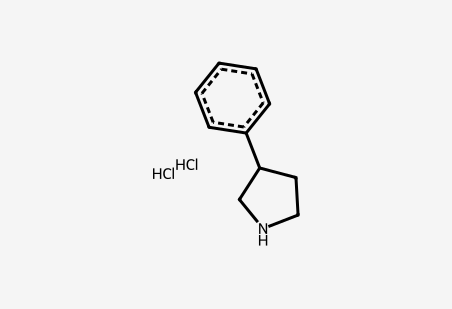 Cl.Cl.c1ccc(C2CCNC2)cc1